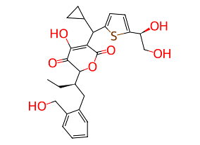 CC[C@H](Cc1ccccc1CO)C1OC(=O)C(C(c2ccc([C@@H](O)CO)s2)C2CC2)=C(O)C1=O